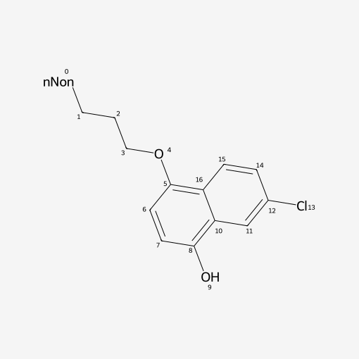 CCCCCCCCCCCCOc1ccc(O)c2cc(Cl)ccc12